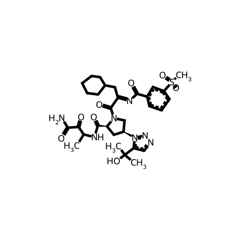 CC(NC(=O)[C@@H]1C[C@H](n2nncc2C(C)(C)O)CN1C(=O)/C(CC1CCCCC1)=N/C(=O)c1cccc(S(C)(=O)=O)c1)C(=O)C(N)=O